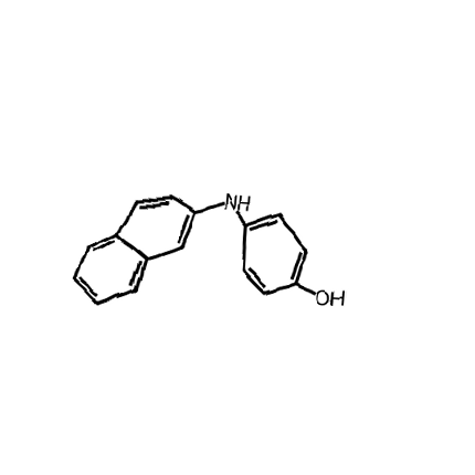 Oc1ccc(Nc2ccc3ccccc3c2)cc1